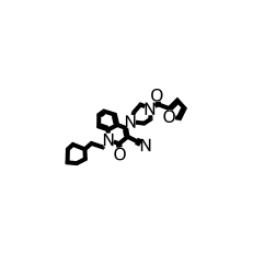 N#Cc1c(N2CCN(C(=O)c3ccco3)CC2)c2ccccc2n(CCC2CCCCC2)c1=O